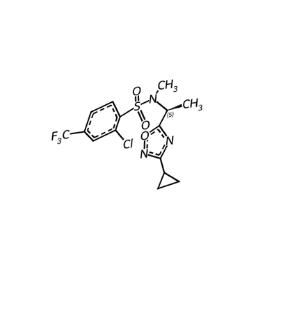 C[C@@H](c1nc(C2CC2)no1)N(C)S(=O)(=O)c1ccc(C(F)(F)F)cc1Cl